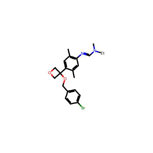 CCN(C)C=Nc1cc(C)c(C2(OCc3ccc(Br)cc3)COC2)cc1C